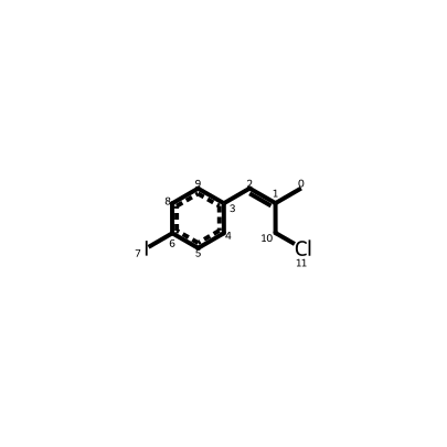 CC(=Cc1ccc(I)cc1)CCl